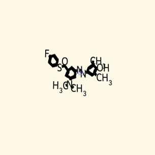 Cc1cc(/N=N/c2cc(C(=O)Sc3ccc(F)cc3)cc(N(C)C)c2)cc(C)c1O